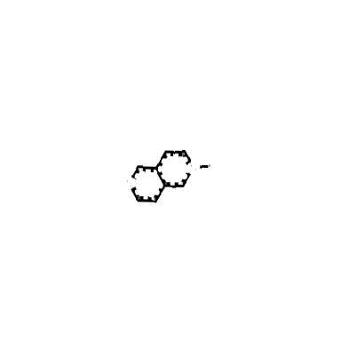 [O-][n+]1ccc2cnccc2c1